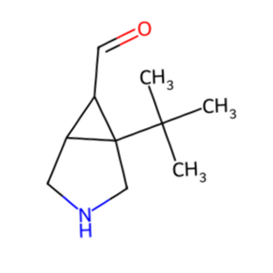 CC(C)(C)C12CNCC1C2C=O